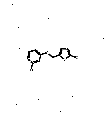 CCc1cccc(OCc2cnc(Cl)s2)c1